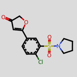 O=C1C=C(c2ccc(Cl)c(S(=O)(=O)N3CCCC3)c2)OC1